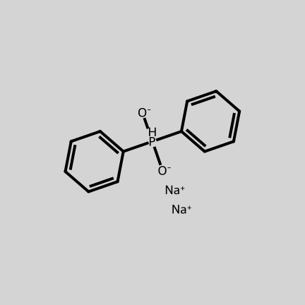 [Na+].[Na+].[O-][PH]([O-])(c1ccccc1)c1ccccc1